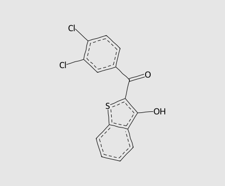 O=C(c1ccc(Cl)c(Cl)c1)c1sc2ccccc2c1O